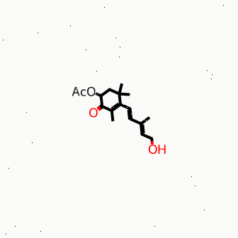 CC(=O)OC1CC(C)(C)C(/C=C/C(C)=C/CO)=C(C)C1=O